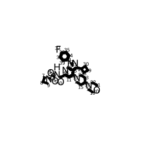 O=C(NS(=O)(=O)N1CCC1)c1cc(N2CCC(N3CCOCC3)CC2)c2c(C3CCC3)nn(-c3ccc(F)cc3)c2n1